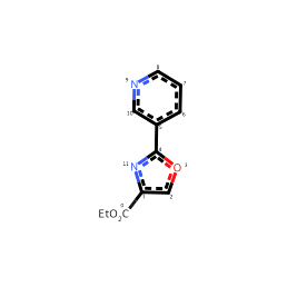 CCOC(=O)c1coc(-c2cccnc2)n1